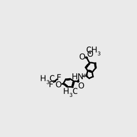 COC(=O)c1ccc2c(c1)[C@H](NC(=O)c1ccc(OC(C)(F)F)cc1C)CC2